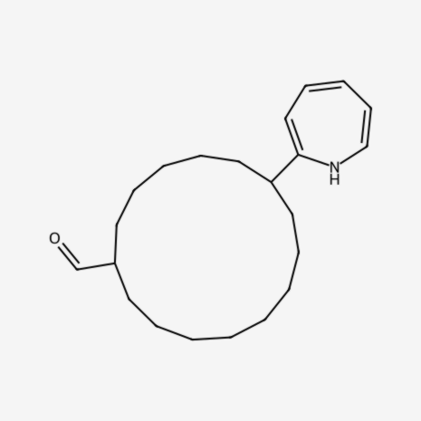 O=CC1CCCCCCCCC(C2=CC=CC=CN2)CCCCC1